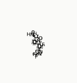 N=S1(=O)CCC(C(=O)N(Cc2ccc(-c3nnc(C(F)F)o3)cc2F)c2ccccc2)CC1